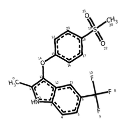 Cc1[nH]c2ccc(C(F)(F)F)cc2c1Oc1ccc(S(C)(=O)=O)cc1